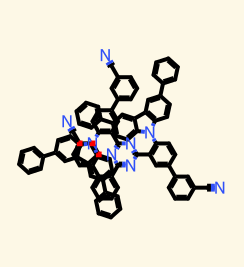 N#Cc1ccc(-c2ccccc2-c2nc(-c3cc(-c4cccc(C#N)c4)ccc3-n3c4ccc(-c5ccccc5)cc4c4cc(-c5ccccc5)ccc43)nc(-c3cc(-c4cccc(C#N)c4)ccc3-n3c4ccc(-c5ccccc5)cc4c4cc(-c5ccccc5)ccc43)n2)cc1